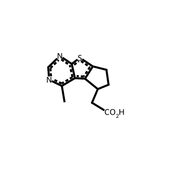 Cc1ncnc2sc3c(c12)C(CC(=O)O)CC3